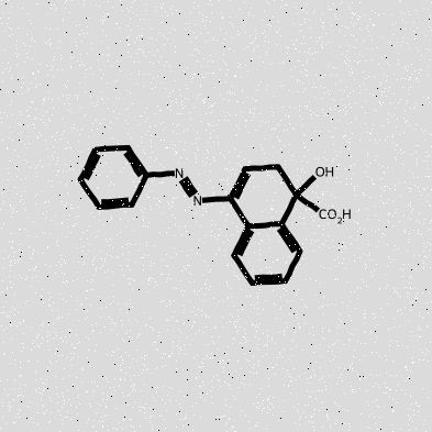 O=C(O)C1(O)CC=C(N=Nc2ccccc2)c2ccccc21